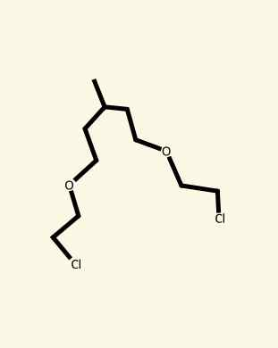 C[C](CCOCCCl)CCOCCCl